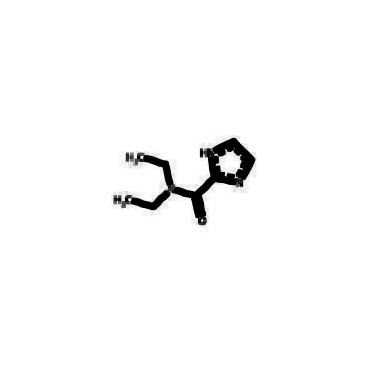 CCN(CC)C(=O)c1ncc[nH]1